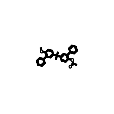 COc1ccc(C(C)(C)c2ccc(OC(C)=O)c(-c3ccccc3)c2)cc1-c1ccccc1